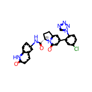 O=C(Nc1ccc2[nH]c(=O)ccc2c1)[C@@H]1CCc2cc(-c3cc(Cl)ccc3-n3cnnn3)cc(=O)n21